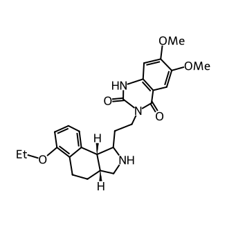 CCOc1cccc2c1CC[C@H]1CNC(CCn3c(=O)[nH]c4cc(OC)c(OC)cc4c3=O)[C@@H]21